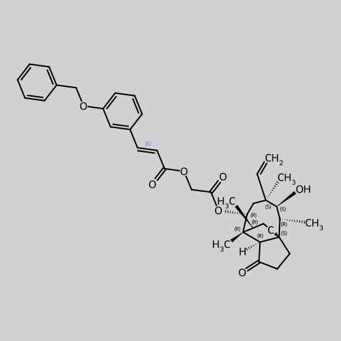 C=C[C@]1(C)C[C@@H](OC(=O)COC(=O)/C=C/c2cccc(OCc3ccccc3)c2)[C@]2(C)[C@H](C)CC[C@]3(CCC(=O)[C@H]32)[C@@H](C)[C@@H]1O